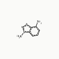 Nc1cccc2c1nnn2N